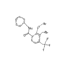 O=C(Nc1ccccc1)c1ccc(C(F)(F)F)c(Br)c1OBr